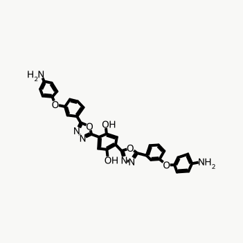 Nc1ccc(Oc2cccc(-c3nnc(-c4cc(O)c(-c5nnc(-c6cccc(Oc7ccc(N)cc7)c6)o5)cc4O)o3)c2)cc1